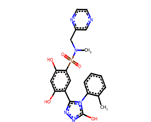 Cc1ccccc1-n1c(O)nnc1-c1cc(S(=O)(=O)N(C)Cc2cnccn2)c(O)cc1O